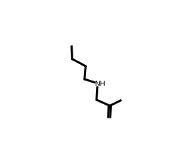 C=C(C)CNCCCC